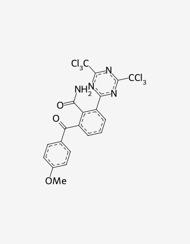 COc1ccc(C(=O)c2cccc(-c3nc(C(Cl)(Cl)Cl)nc(C(Cl)(Cl)Cl)n3)c2C(N)=O)cc1